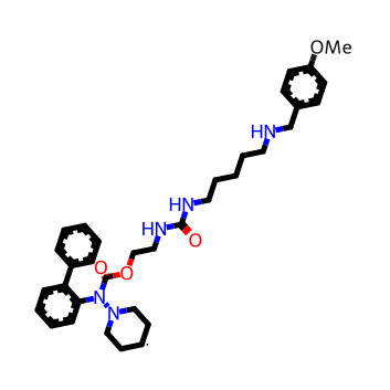 COc1ccc(CNCCCCCNC(=O)NCCOC(=O)N(c2ccccc2-c2ccccc2)N2CC[CH]CC2)cc1